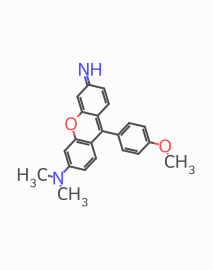 COc1ccc(-c2c3ccc(=N)cc-3oc3cc(N(C)C)ccc23)cc1